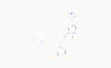 COc1cc(OC)cc(C(CCCCNC(C)C)c2ccc3ncc(-c4cnn(C)c4)cc3c2)c1